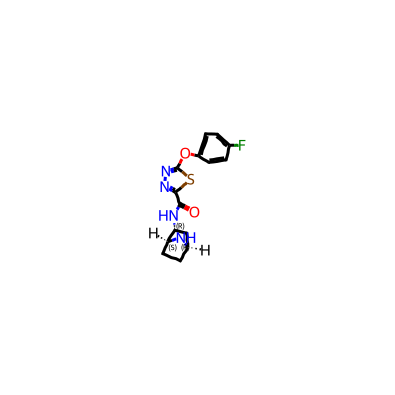 O=C(N[C@@H]1C[C@H]2CC[C@@H]1N2)c1nnc(Oc2ccc(F)cc2)s1